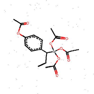 CCC(c1ccc(OC(C)=O)cc1)[Si](OC(C)=O)(OC(C)=O)OC(C)=O